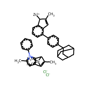 CC1=C2c3cc(C)n(-c4ccccc4)c3C1[Si]2(C)C.CC1=Cc2c(-c3ccc(C45CC6CC(CC(C6)C4)C5)cc3)cccc2[CH]1[Zr+2].[Cl-].[Cl-]